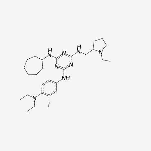 CCN(CC)c1ccc(Nc2nc(NCC3CCCN3CC)nc(NC3CCCCCC3)n2)cc1I